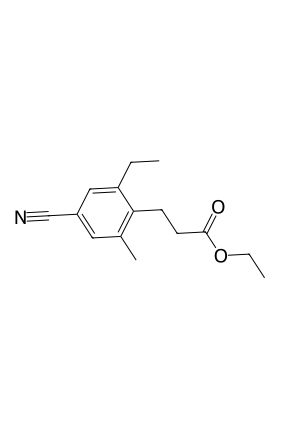 CCOC(=O)CCc1c(C)cc(C#N)cc1CC